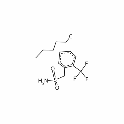 CCCCCCl.NS(=O)(=O)Cc1ccccc1C(F)(F)F